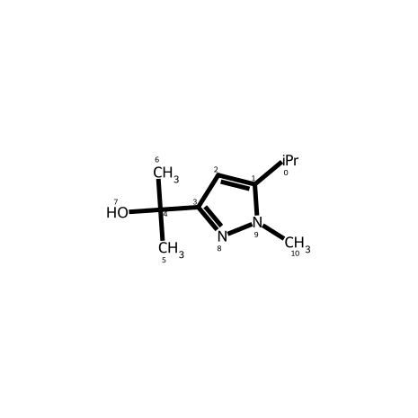 CC(C)c1cc(C(C)(C)O)nn1C